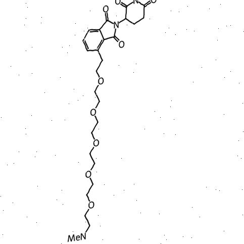 CNCCOCCOCCOCCOCCOCCc1cccc2c1C(=O)N(C1CCC(=O)NC1=O)C2=O